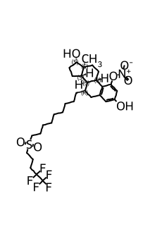 C[C@]12CC[C@@H]3c4c(cc(O)cc4O[N+](=O)[O-])C[C@@H](CCCCCCCCCS(=O)(=O)CCCC(F)(F)C(F)(F)F)[C@H]3[C@@H]1CC[C@@H]2O